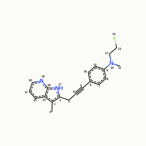 Cc1c(CC#Cc2ccc(N(C)CCF)cc2)[nH]c2ncccc12